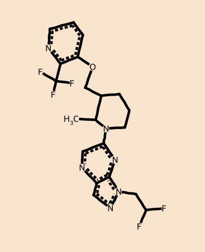 CC1C(COc2cccnc2C(F)(F)F)CCCN1c1cnc2cnn(CC(F)F)c2n1